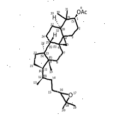 CC(=O)O[C@H]1CCC23C[C@]24CC[C@]2(C)[C@@H]([C@H](C)CCC5OC5(C)C)CC[C@@]2(C)[C@@H]4CC[C@H]3C1(C)C